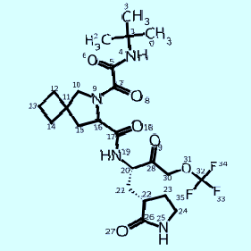 CC(C)(C)NC(=O)C(=O)N1CC2(CCC2)CC1C(=O)N[C@@H](C[C@@H]1CCNC1=O)C(=O)COC(F)(F)F